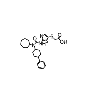 O=C(O)CSc1cnc(NC(=O)N(C2CCCCCC2)C2CCC(c3ccccc3)CC2)s1